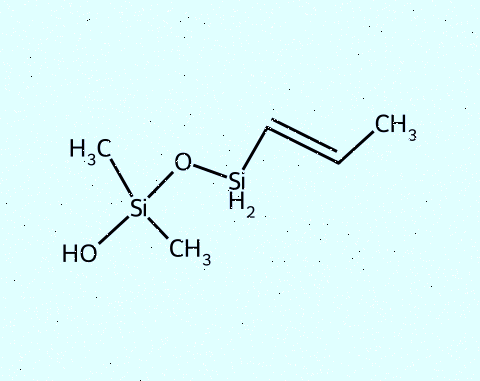 CC=C[SiH2]O[Si](C)(C)O